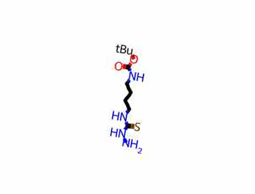 CC(C)(C)OC(=O)NCCCCNC(=S)NN